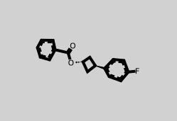 O=C(O[C@H]1C[C@H](c2ccc(F)cc2)C1)c1ccccc1